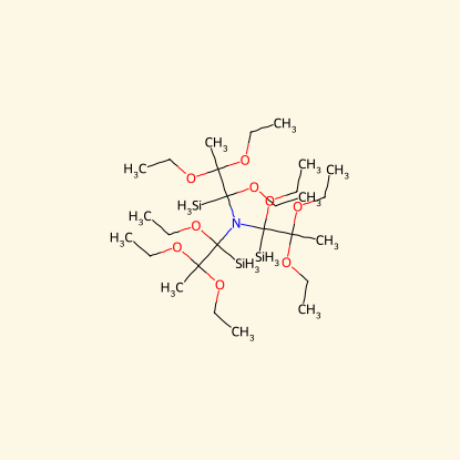 CCOC(C)(OCC)C([SiH3])(OCC)N(C([SiH3])(OCC)C(C)(OCC)OCC)C([SiH3])(OCC)C(C)(OCC)OCC